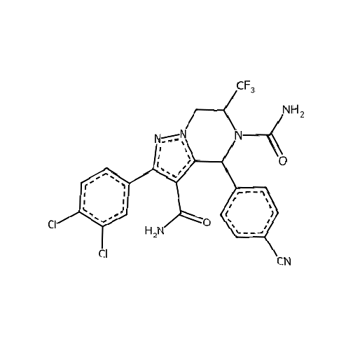 N#Cc1ccc(C2c3c(C(N)=O)c(-c4ccc(Cl)c(Cl)c4)nn3CC(C(F)(F)F)N2C(N)=O)cc1